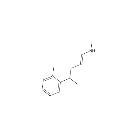 CN/C=C/CC(C)c1ccccc1C